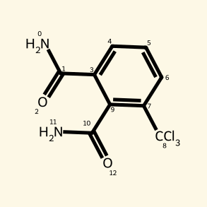 NC(=O)c1cccc(C(Cl)(Cl)Cl)c1C(N)=O